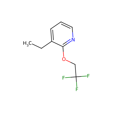 CCc1cccnc1OCC(F)(F)F